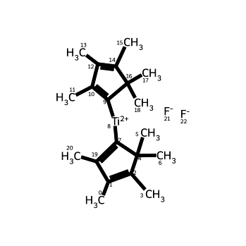 CC1=C(C)C(C)(C)[C]([Ti+2][C]2=C(C)C(C)=C(C)C2(C)C)=C1C.[F-].[F-]